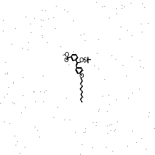 CCCCCCCCCCOc1ccc(C=C(CO[Si](C)(C)C(C)(C)C)c2cccc(C(=O)OC)c2)cc1